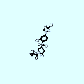 C[C@@H]1CC(S(=O)(=O)c2ccc(-n3cnc(Cl)n3)cc2Cl)CN1C(=O)C1(C(F)(F)F)CC1